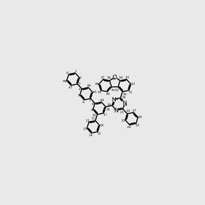 c1ccc(-c2ccc(-c3cc(-c4ccccc4)cc(-c4nc(-c5ccccc5)nc(-c5cccc6oc7ccccc7c56)n4)c3)cc2)cc1